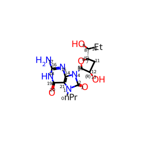 CCCn1c(=O)n([C@@H]2O[C@H](C(O)CC)C[C@H]2O)c2nc(N)[nH]c(=O)c21